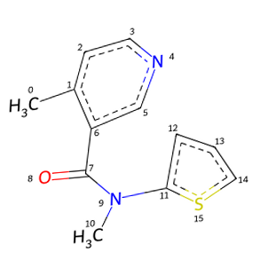 Cc1ccncc1C(=O)N(C)c1cccs1